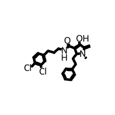 C=C1C(O)=C(C(=O)NCCCc2ccc(Cl)c(Cl)c2)C(CCc2ccccc2)N1C